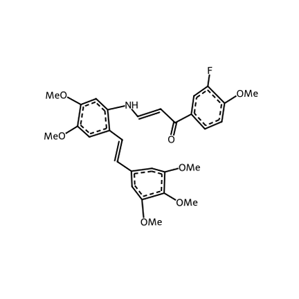 COc1ccc(C(=O)C=CNc2cc(OC)c(OC)cc2C=Cc2cc(OC)c(OC)c(OC)c2)cc1F